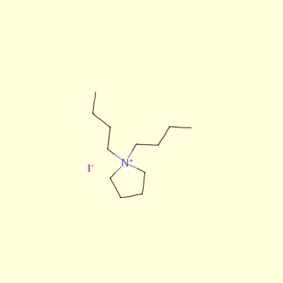 CCCC[N+]1(CCCC)CCCC1.[I-]